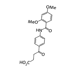 COc1ccc(C(=O)Nc2ccc(C(=O)CCC(=O)O)cc2)c(OC)c1